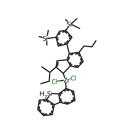 CCCc1ccc2c(c1-c1cc([Si](C)(C)C)cc([Si](C)(C)C)c1)C=C(C(C)CC)[CH]2[Zr]([Cl])([Cl])[c]1cccc2c1[SiH2]c1ccccc1-2